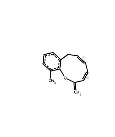 C=C1/C=C\C=C/Cc2cccc(C)c2O1